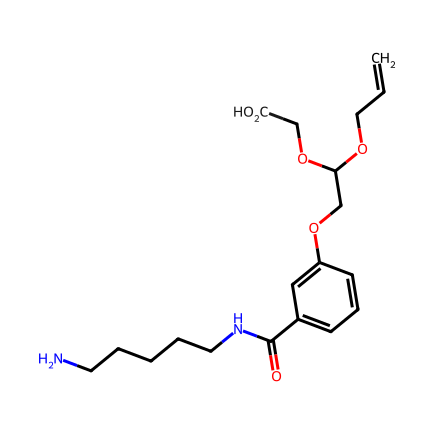 C=CCOC(COc1cccc(C(=O)NCCCCCN)c1)OCC(=O)O